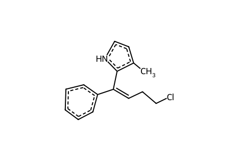 Cc1cc[nH]c1C(=CCCCl)c1ccccc1